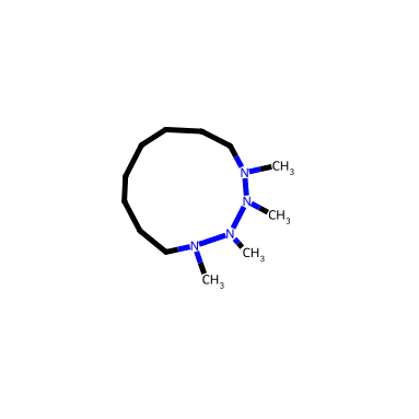 CN1CCCCCCCCN(C)N(C)N1C